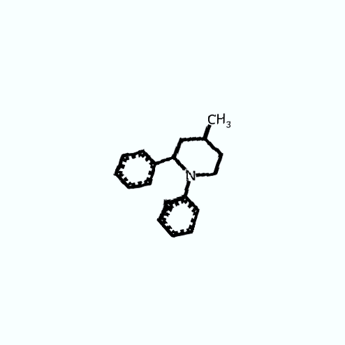 CC1CCN(c2ccccc2)C(c2ccccc2)C1